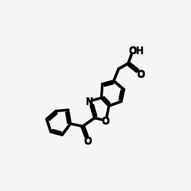 O=C(O)Cc1ccc2oc(C(=O)c3ccccc3)nc2c1